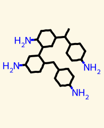 CC(C1CCC(N)CC1)C1CCC(N)C(C2CC(N)CCC2CC2CCC(N)CC2)C1